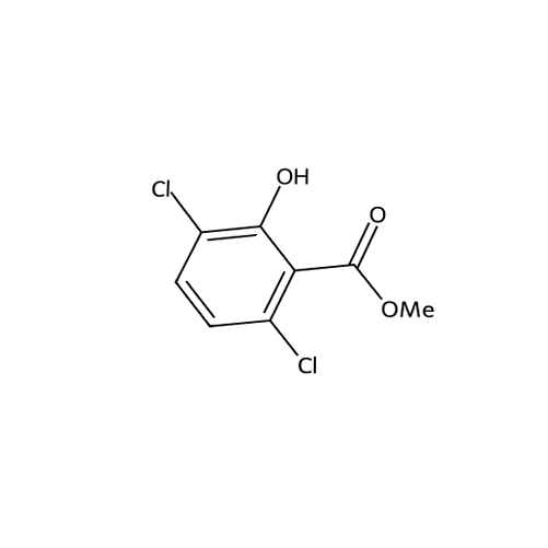 COC(=O)c1c(Cl)ccc(Cl)c1O